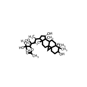 COC(C[C@@H](C)C1C[C@H](O)[C@@]2(C)C3CC[C@H]4C(C)(C)C(O)CCC45CC35CCC12C)C(OC(C)=O)C(C)(C)O